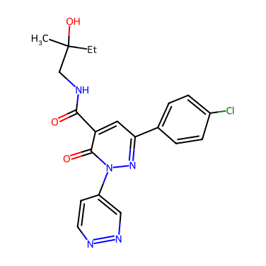 CCC(C)(O)CNC(=O)c1cc(-c2ccc(Cl)cc2)nn(-c2ccnnc2)c1=O